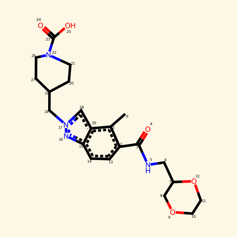 Cc1c(C(=O)NCC2COCCO2)ccc2nn(CC3CCN(C(=O)O)CC3)cc12